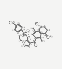 CCn1ncc(C(=O)c2cc(C)c3c(c2C)C(OC)CC[S+]3[O-])c1OS(=O)(=O)c1ccc(Cl)cc1